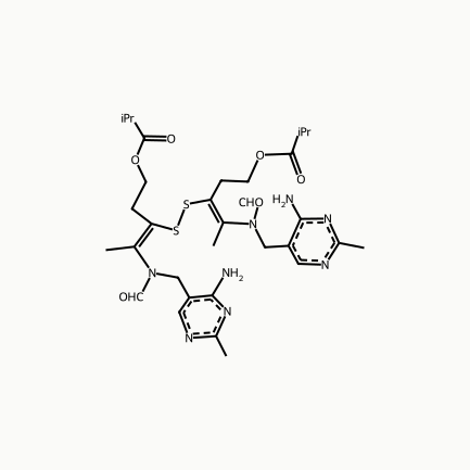 CC(=C(CCOC(=O)C(C)C)SSC(CCOC(=O)C(C)C)=C(C)N(C=O)Cc1cnc(C)nc1N)N(C=O)Cc1cnc(C)nc1N